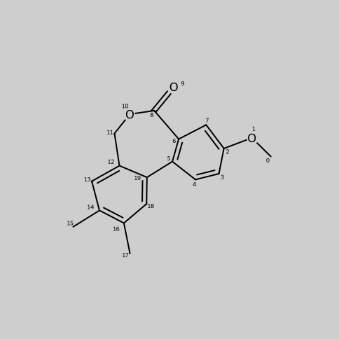 COc1ccc2c(c1)C(=O)OCc1cc(C)c(C)cc1-2